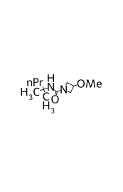 CCCC(C)(C)NC(=O)N1CC(OC)C1